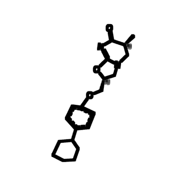 C[C@H]1CN2C[C@@H](COc3ccc(C4CCCCC4)cc3)OC2=NC1=O